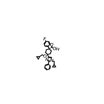 O=C(O)[C@]1(c2ccc(F)cc2)CC[C@](OCC2CC2)(c2cn(CC3CC3)c(-c3ccccc3)n2)CC1